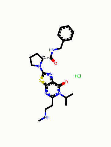 CNCCc1nc2sc(N3CCC[C@@H]3C(=O)NCc3ccccc3)nc2c(=O)n1C(C)C.Cl